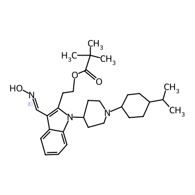 CC(C)C1CCC(N2CCC(n3c(CCOC(=O)C(C)(C)C)c(/C=N/O)c4ccccc43)CC2)CC1